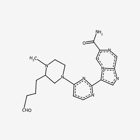 CN1CCN(c2ccnc(-c3cnc4cnc(C(N)=O)cn34)n2)CC1CCCC=O